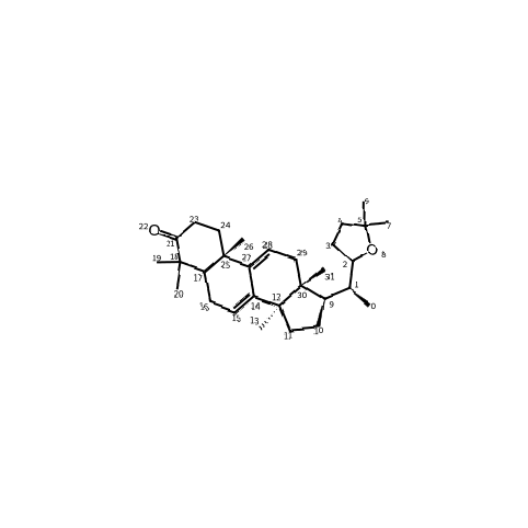 C[C@H](C1CCC(C)(C)O1)[C@H]1CC[C@@]2(C)C3=CCC4C(C)(C)C(=O)CC[C@]4(C)C3=CC[C@]12C